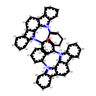 C1=CC(n2c3ccccc3c3ccc4c5ccccc5n(-c5ccc(-n6c7ccccc7c7ccc8c9ccccc9n(-c9ccccc9)c8c76)cc5)c4c32)=CCC1